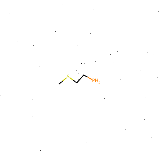 CSCCP